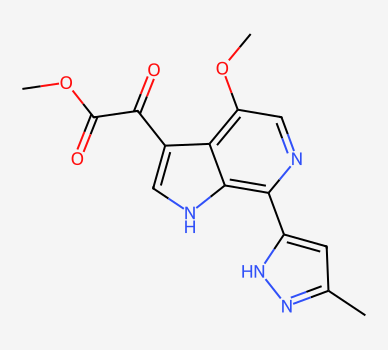 COC(=O)C(=O)c1c[nH]c2c(-c3cc(C)n[nH]3)ncc(OC)c12